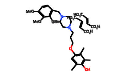 COc1ccc(CN2CCN(CCCOc3cc(C)c(O)c(C)c3C)CC2)c(OC)c1OC.O=C(O)C=CC(=O)O.O=C(O)C=CC(=O)O